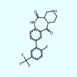 O=C1Nc2ccc(-c3cc(C(F)(F)F)ccc3F)cc2C(=O)N2CCNCC12